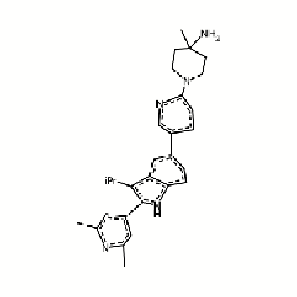 Cc1cc(-c2[nH]c3ccc(-c4ccc(N5CCC(C)(N)CC5)nc4)cc3c2C(C)C)cc(C)n1